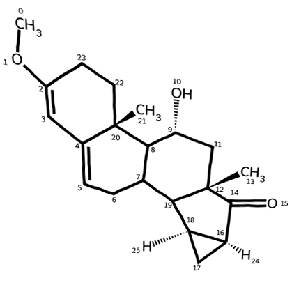 COC1=CC2=CCC3C([C@H](O)C[C@]4(C)C(=O)[C@H]5C[C@H]5C34)[C@@]2(C)CC1